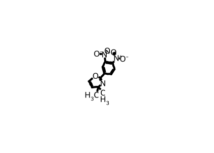 CC1(C)C=COC(c2ccc([N+](=O)[O-])c([N+](=O)[O-])c2)=N1